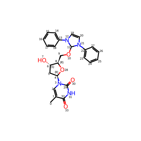 Cc1cn([C@H]2C[C@H](O)[C@@H](COC3N(c4ccccc4)C=CN3c3ccccc3)O2)c(=O)[nH]c1=O